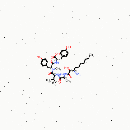 CCCCCCC[C@@H](N)[C@H](O)C(=O)N[C@@H](C)C(=O)N[C@H](C(=O)N(C)[C@@H](Cc1ccc(O)cc1)C(=O)N[C@@H](Cc1ccc(O)cc1)C(=O)O)C(C)C